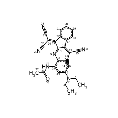 CCN(CC)c1ccc(N=C2C(=C(C#N)C#N)c3ccccc3C2=C(C#N)C#N)c(NC(C)=O)c1